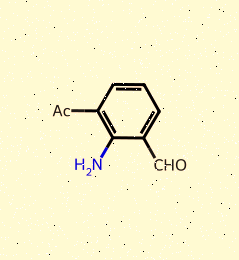 CC(=O)c1cccc(C=O)c1N